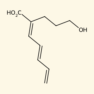 C=CC=CC=C(CCCO)C(=O)O